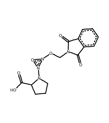 O=C(O)C1CCCN1n1on1OCN1C(=O)c2ccccc2C1=O